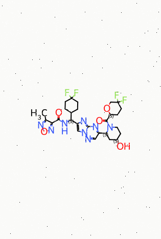 Cc1nonc1C(=O)N[C@H](c1cn2ncc([C@@H]3C[C@@H](O)CCN3C(=O)[C@@H]3CCC(F)(F)CO3)nc2n1)C1CCC(F)(F)CC1